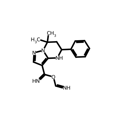 CC1(C)CC(c2ccccc2)Nc2c(C(=N)OC=N)cnn21